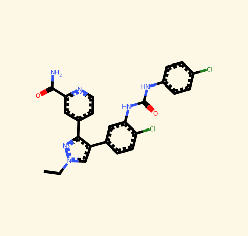 CCn1cc(-c2ccc(Cl)c(NC(=O)Nc3ccc(Cl)cc3)c2)c(-c2ccnc(C(N)=O)c2)n1